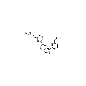 NCCc1cccc(-c2ccc3cnn(-c4cccc(CO)n4)c3c2)n1